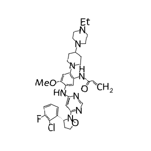 C=CC(=O)Nc1cc(Nc2cc(N3OCC[C@@H]3c3cccc(F)c3Cl)ncn2)c(OC)cc1N1CCC(N2CCN(CC)CC2)CC1